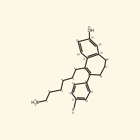 BCCCCCCC1=C(c2ccc(F)cc2)CCCc2cc(O)ccc21